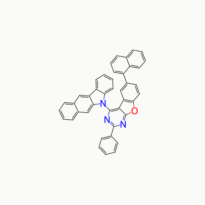 c1ccc(-c2nc(-n3c4ccccc4c4cc5ccccc5cc43)c3c(n2)oc2ccc(-c4cccc5ccccc45)cc23)cc1